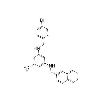 FC(F)(F)c1cc(NCc2ccc(Br)cc2)cc(NCc2ccc3ccccc3c2)c1